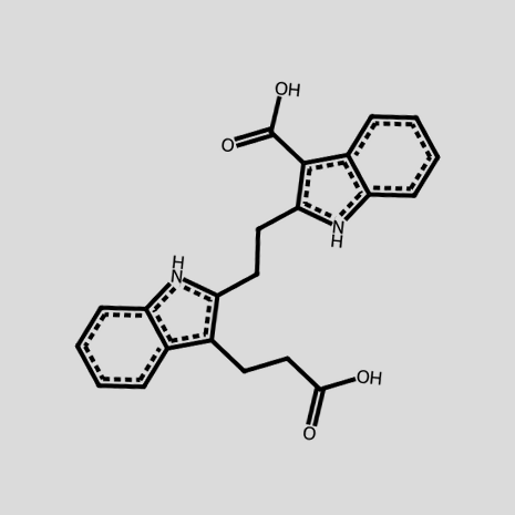 O=C(O)CCc1c(CCc2[nH]c3ccccc3c2C(=O)O)[nH]c2ccccc12